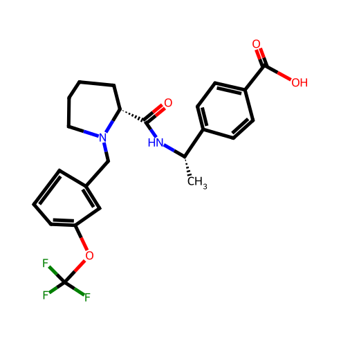 C[C@H](NC(=O)[C@H]1CCCCN1Cc1cccc(OC(F)(F)F)c1)c1ccc(C(=O)O)cc1